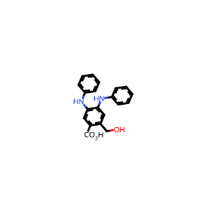 O=C(O)c1cc(Nc2ccccc2)c(Nc2ccccc2)cc1CO